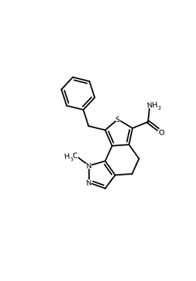 Cn1ncc2c1-c1c(Cc3ccccc3)sc(C(N)=O)c1CC2